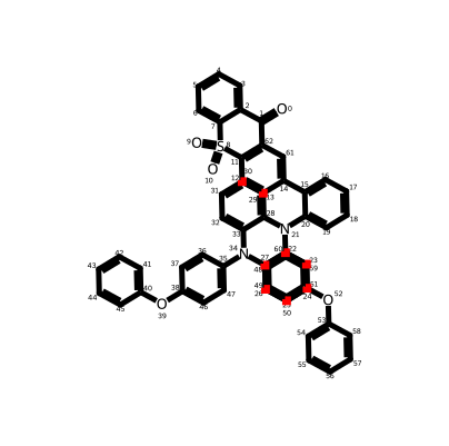 O=C1c2ccccc2S(=O)(=O)c2ccc(-c3ccccc3N(c3ccccc3)c3ccccc3N(c3ccc(Oc4ccccc4)cc3)c3ccc(Oc4ccccc4)cc3)cc21